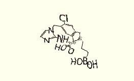 Nc1nccn1Cc1cc2c(cc1Cl)C[C@H](CCCB(O)O)[C@@H]2C(=O)O